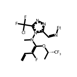 C=C/C(F)=C(/O[C@@H](C)C(F)(F)F)N(C)n1c(/C=N\CC)nnc1C(F)(F)Cl